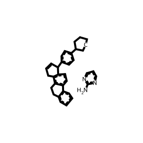 C1=CC(c2ccc(C3CCCCC3)cc2)c2ccc3c(c2C1)CCc1ccccc1-3.Nc1ncccn1